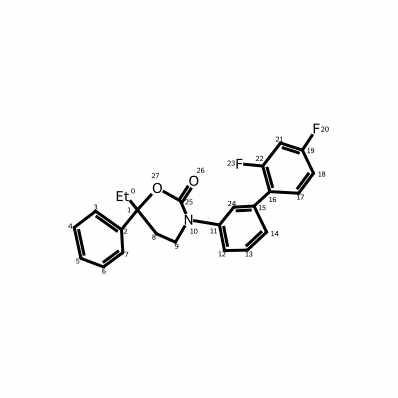 [CH2]CC1(c2ccccc2)CCN(c2cccc(-c3ccc(F)cc3F)c2)C(=O)O1